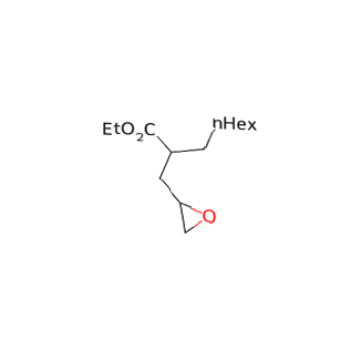 CCCCCCCC(CC1CO1)C(=O)OCC